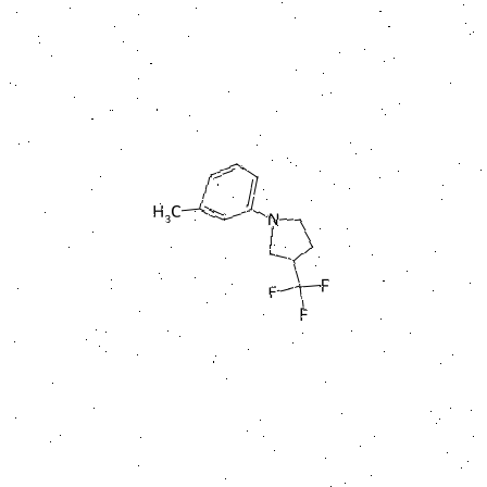 Cc1cccc(N2CCC(C(F)(F)F)C2)c1